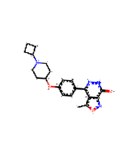 Cc1onc2c(=O)[nH]nc(-c3ccc(OC4CCN(C5CCC5)CC4)cc3)c12